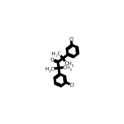 CC(C)(C(=O)C(C)(C)c1cccc(Cl)c1)c1cccc(Cl)c1